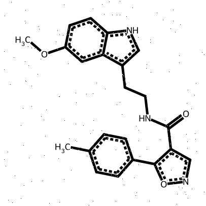 COc1ccc2[nH]cc(CCNC(=O)c3cnoc3-c3ccc(C)cc3)c2c1